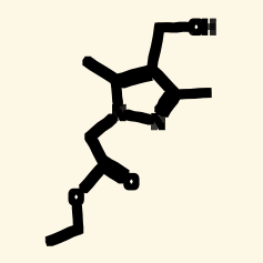 CCOC(=O)Cn1nc(C)c(CO)c1C